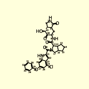 O=C1NCCC1CC(NC(=O)C1C2CCCC2CN1C(=O)c1cc2c(Cl)cc(Oc3ccccc3)cc2[nH]1)C(=O)CO